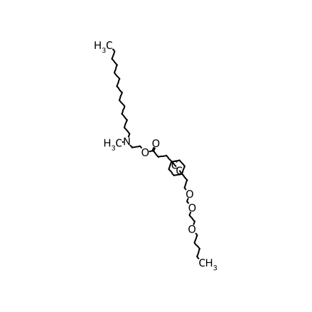 CCCCCCCCCCCCCCN(C)CCOC(=O)CCC12CCC(CCOCOCCOCCCCC)(CC1)CC2